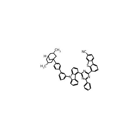 C[C@@H]1C[C@@H]2C[C@H](C)CC(c3ccc(-c4cccc(-n5c6ccccc6c6c(-c7nc(-c8ccccc8)nc(-c8cccc9c8sc8cc(C#N)ccc89)n7)cccc65)c4)cc3)(C1)C2